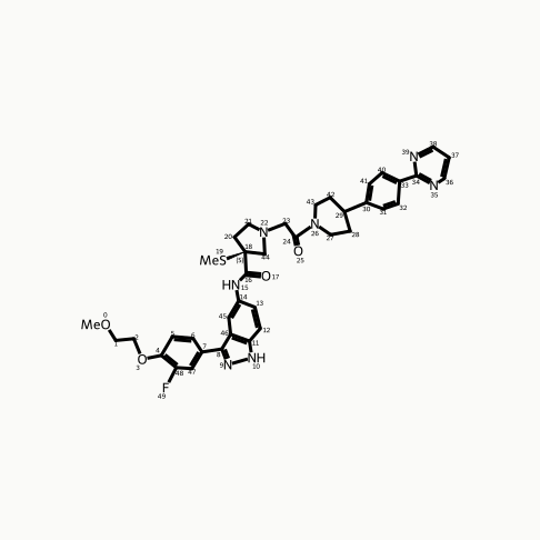 COCCOc1ccc(-c2n[nH]c3ccc(NC(=O)[C@]4(SC)CCN(CC(=O)N5CCC(c6ccc(-c7ncccn7)cc6)CC5)C4)cc23)cc1F